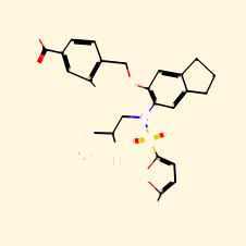 Cc1ccc(S(=O)(=O)N(CC(C)C)c2cc3c(cc2OCc2ccc(C(=O)[O-])cc2C)CCC3)o1.[Na+]